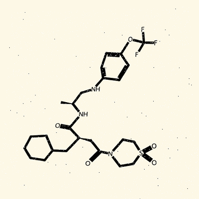 C[C@@H](CNc1ccc(OC(F)(F)F)cc1)NC(=O)[C@@H](CC(=O)N1CCS(=O)(=O)CC1)CC1CCCCC1